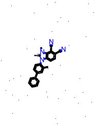 Cc1cc(-c2ccccc2)ccc1N1c2ccc(C#N)c(C#N)c2N(C)[C@@H]1C